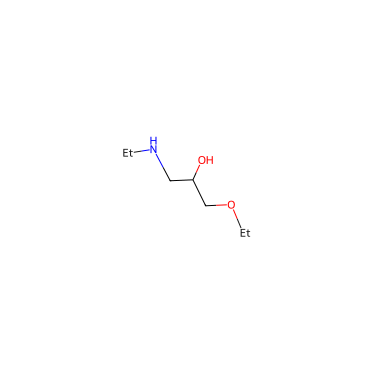 CCNCC(O)COCC